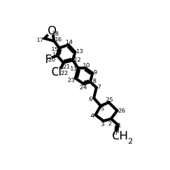 C=CC1CCC(CCc2ccc(-c3ccc(C4CO4)c(F)c3Cl)cc2)CC1